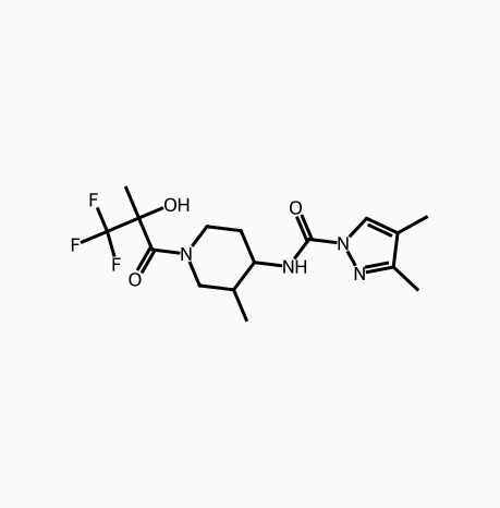 Cc1cn(C(=O)NC2CCN(C(=O)C(C)(O)C(F)(F)F)CC2C)nc1C